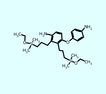 CCO[Si](C)(C)CCCc1c(N)ccc(Oc2ccc(N)cc2)c1CCC[Si](C)(C)OCC